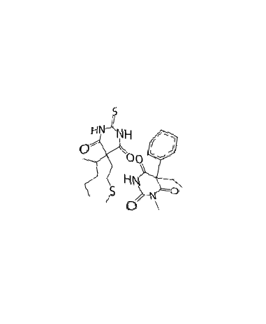 CCC1(c2ccccc2)C(=O)NC(=O)N(C)C1=O.CCCC(C)C1(CCSC)C(=O)NC(=S)NC1=O